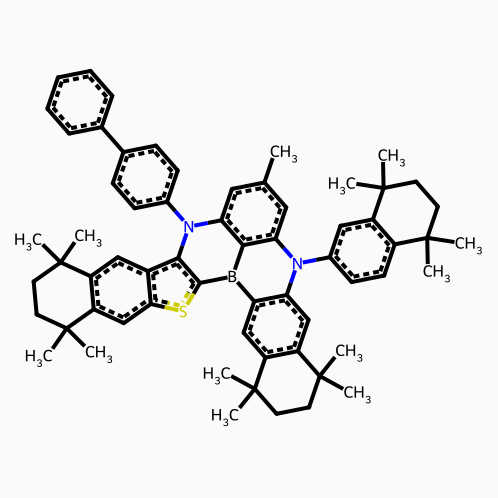 Cc1cc2c3c(c1)N(c1ccc(-c4ccccc4)cc1)c1c(sc4cc5c(cc14)C(C)(C)CCC5(C)C)B3c1cc3c(cc1N2c1ccc2c(c1)C(C)(C)CCC2(C)C)C(C)(C)CCC3(C)C